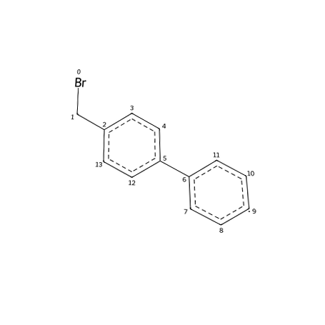 BrCc1ccc(-c2cc[c]cc2)cc1